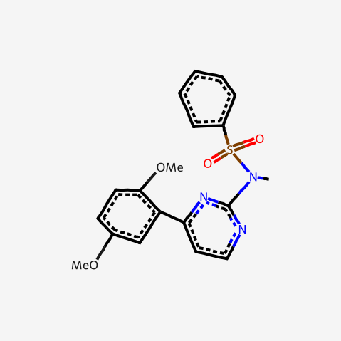 COc1ccc(OC)c(-c2ccnc(N(C)S(=O)(=O)c3ccccc3)n2)c1